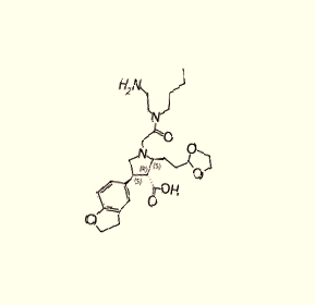 CCCCN(CCN)C(=O)CN1C[C@H](c2ccc3c(c2)CCO3)[C@@H](C(=O)O)[C@@H]1CCC1OCCO1